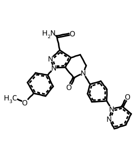 COc1ccc(-n2nc(C(N)=O)c3c2C(=O)N(c2ccc(-n4ncccc4=O)cc2)CC3)cc1